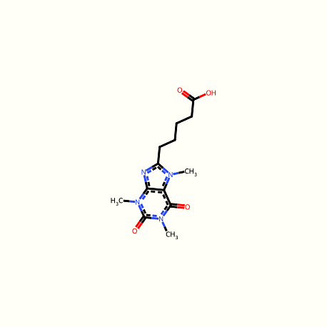 Cn1c(=O)c2c(nc(CCCCC(=O)O)n2C)n(C)c1=O